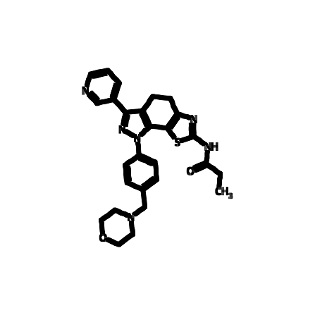 CCC(=O)Nc1nc2c(s1)-c1c(c(-c3cccnc3)nn1-c1ccc(CN3CCOCC3)cc1)CC2